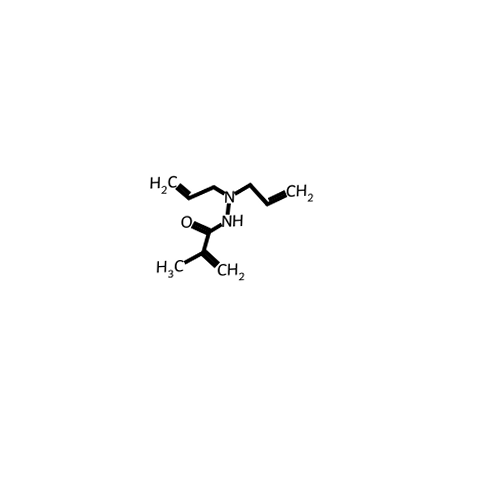 C=CCN(CC=C)NC(=O)C(=C)C